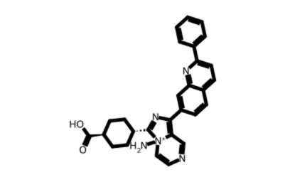 N[N+]12C=CN=CC1=C(c1ccc3ccc(-c4ccccc4)nc3c1)N=C2[C@H]1CC[C@H](C(=O)O)CC1